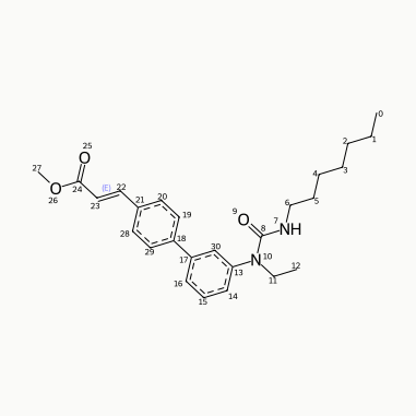 CCCCCCCNC(=O)N(CC)c1cccc(-c2ccc(/C=C/C(=O)OC)cc2)c1